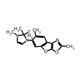 Cc1nc2c(o1)oc1cc(N3C=CN(C)C3(C)C)c(C)cc12